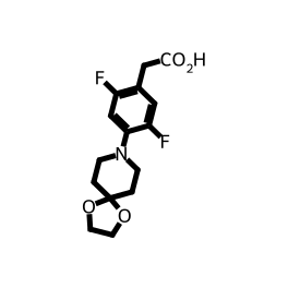 O=C(O)Cc1cc(F)c(N2CCC3(CC2)OCCO3)cc1F